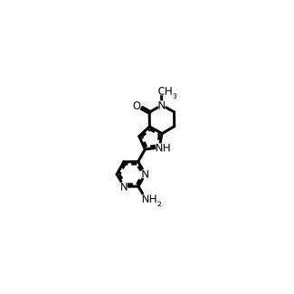 CN1CCc2[nH]c(-c3ccnc(N)n3)cc2C1=O